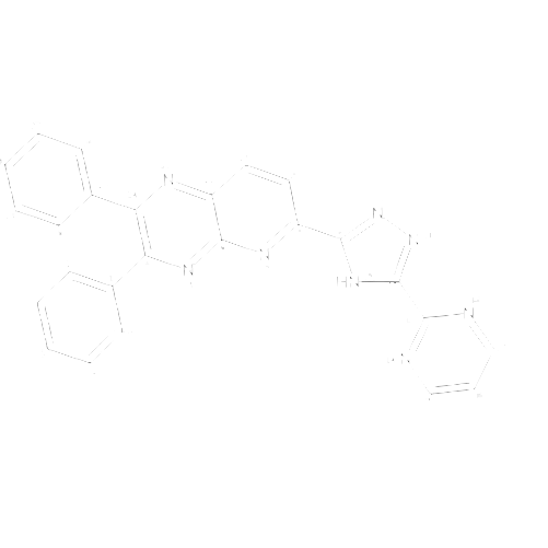 [c]1ccc(-c2nc3nc(-c4nnc(-c5ncccn5)[nH]4)ccc3nc2-c2ccccc2)cc1